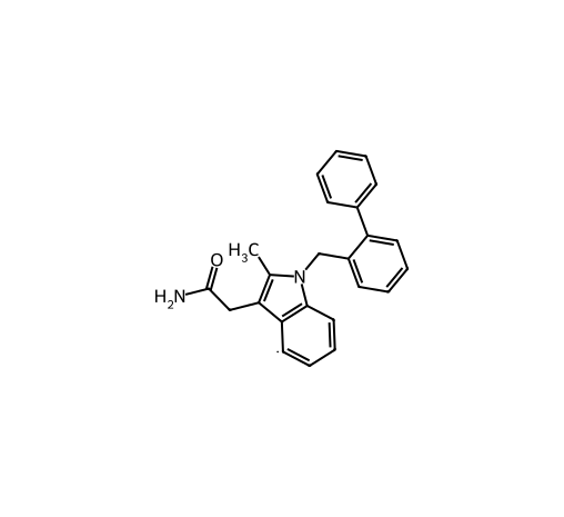 Cc1c(CC(N)=O)c2[c]cccc2n1Cc1ccccc1-c1ccccc1